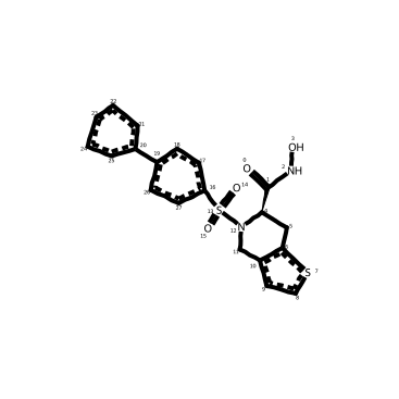 O=C(NO)[C@H]1Cc2sccc2CN1S(=O)(=O)c1ccc(-c2ccccc2)cc1